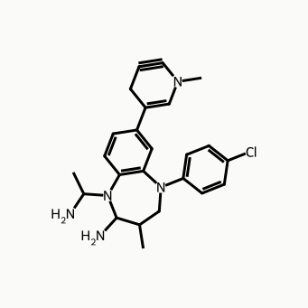 CC1CN(c2ccc(Cl)cc2)c2cc(C3=CN(C)C#CC3)ccc2N(C(C)N)C1N